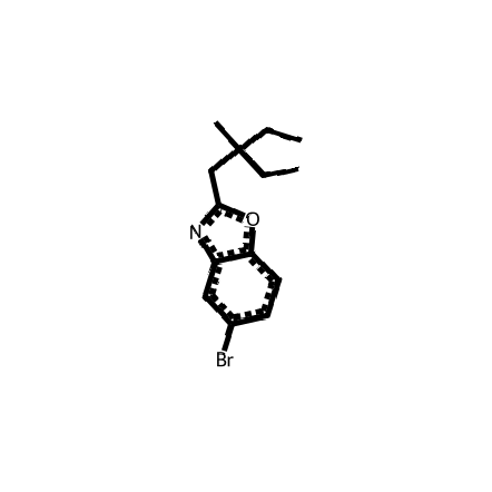 CCC(C)(CC)Cc1nc2cc(Br)ccc2o1